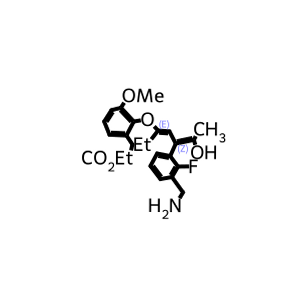 CCOC(=O)Cc1cccc(OC)c1O/C(=C/C(=C(\C)O)c1cccc(CN)c1F)CC